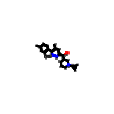 COc1cc(C)ccc1-c1nnc([C@H](O)C2CCCN(C3CC3)C2)cc1C